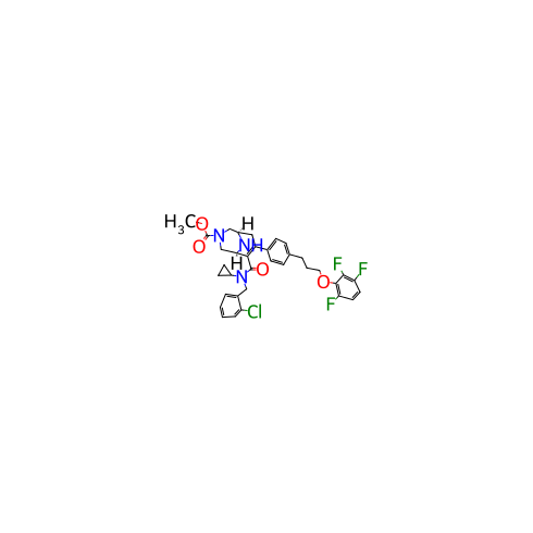 COC(=O)N1C[C@H]2CC(c3ccc(CCCOc4c(F)ccc(F)c4F)cc3)=C(C(=O)N(Cc3ccccc3Cl)C3CC3)[C@@H](C1)N2